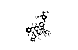 COc1ccc(CN2CCN(C[C@@H](O)[C@H](Cc3ccccc3)NC(=O)[C@@H](N(Cc3cncs3)C(=O)O)C(C)(C)C)[C@H](C(=O)NC(C)(C)C)C2)cc1OC